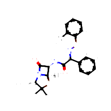 CC1(C)S[C@@H]2[C@H](NC(=O)C(NSc3ccccc3[N+](=O)[O-])c3ccccc3)C(=O)N2[C@H]1C(=O)O